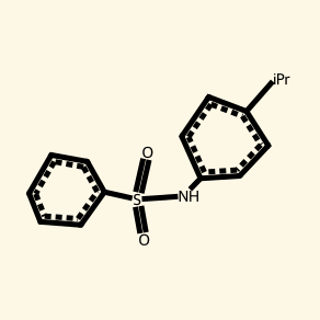 CC(C)c1ccc(NS(=O)(=O)c2ccccc2)cc1